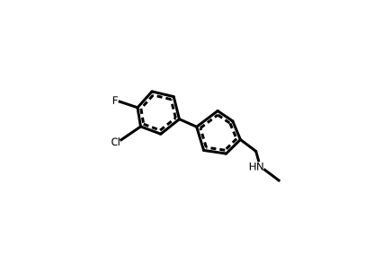 CNCc1ccc(-c2ccc(F)c(Cl)c2)cc1